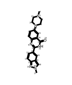 CN1CCN(c2ccc3nc(-c4ccc5nn(C)cc5c4)[nH]c(=O)c3c2)CC1